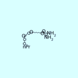 CCCc1ccc(-c2ccc(C(=O)C=Cc3ccc(OCCCCCCCCOC(=O)c4cc(N)cc(N)c4)cc3)cc2)cc1